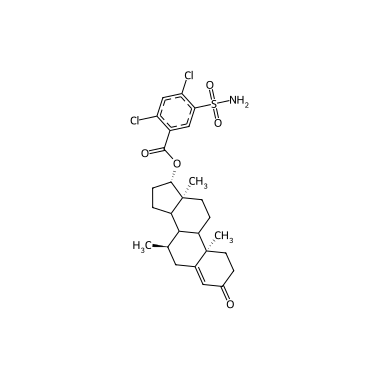 C[C@@H]1CC2=CC(=O)CC[C@]2(C)C2CC[C@@]3(C)C(CC[C@@H]3OC(=O)c3cc(S(N)(=O)=O)c(Cl)cc3Cl)C21